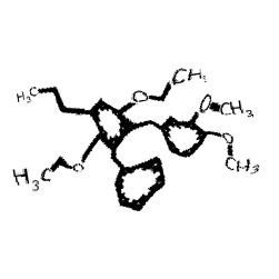 CCCc1[c]c(OCC)c(-c2ccc(OC)c(OC)c2)c(-c2ccccc2)c1OCC